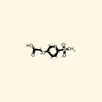 CS(=O)(=O)c1ccc(OCC(=O)O)cn1